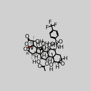 CC(=O)O[C@H]1[C@H]2[C@@H]([C@@H](O)[C@H](NS(=O)(=O)c3ccc(C(F)(F)F)cc3)C3C[C@@H]4O[C@@H]4[C@H](O)[C@@]32C)[C@@H]2[C@@H](O)[C@@H]3[C@H]([C@H](C)[C@H]4O[C@]45OC(=O)[C@@](C)(O)[C@]35C)[C@@]2(C(C)=O)[C@H]1O